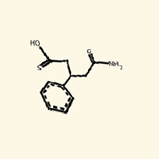 NC(=O)CC(CC(O)=S)c1ccccc1